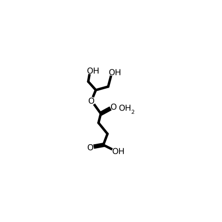 O.O=C(O)CCC(=O)OC(CO)CO